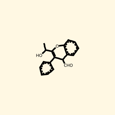 CC(O)C1=C(c2ccccc2)C(C=O)c2ccccc2O1